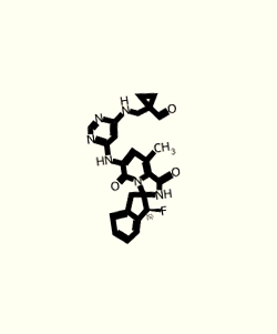 Cc1cc(Nc2cc(NCC3(C=O)CC3)ncn2)c(=O)n2c1C(=O)NC21Cc2ccccc2[C@@H]1F